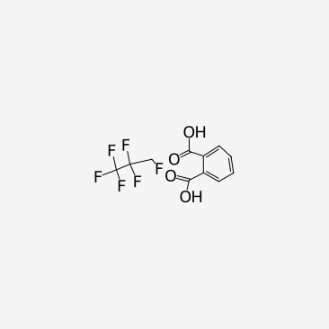 FCC(F)(F)C(F)(F)F.O=C(O)c1ccccc1C(=O)O